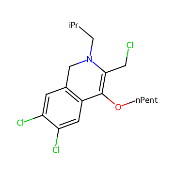 CCCCCOC1=C(CCl)N(CC(C)C)Cc2cc(Cl)c(Cl)cc21